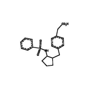 O=C(O)Cc1ccc(CC2CCCC2NS(=O)(=O)c2ccccc2)cc1